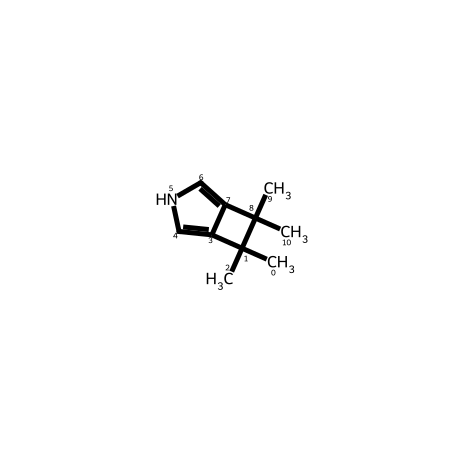 CC1(C)c2c[nH]cc2C1(C)C